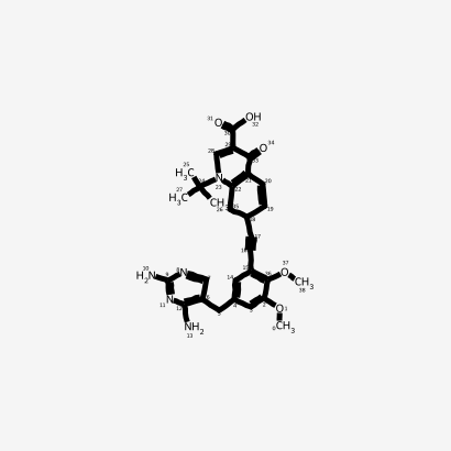 COc1cc(Cc2cnc(N)nc2N)cc(C#CC2C=Cc3c(n(C(C)(C)C)cc(C(=O)O)c3=O)C2)c1OC